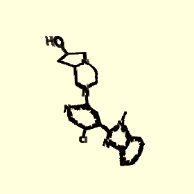 Cn1c(-c2cc(N3CCN4CC(O)CC4C3)ncc2Cl)nc2ccccc21